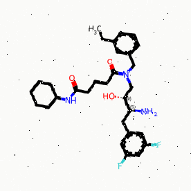 CCc1cccc(CN(C[C@@H](O)[C@@H](N)Cc2cc(F)cc(F)c2)C(=O)CCCC(=O)NC2CCCCC2)c1